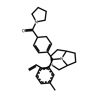 C=CCN1CCC2CCC(C1)N2C(C1=CCC(C(=O)N2CCCC2)C=C1)c1cccc(C)c1